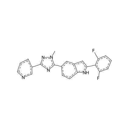 Cn1nc(-c2cccnc2)nc1-c1ccc2[nH]c(-c3c(F)cccc3F)cc2c1